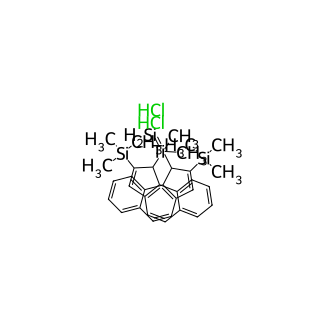 C[Si](C)(C)C1=Cc2ccc3ccccc3c2[CH]1[Ti]([CH3])([CH3])(=[SiH2])[CH]1C([Si](C)(C)C)=Cc2ccc3ccccc3c21.Cl.Cl